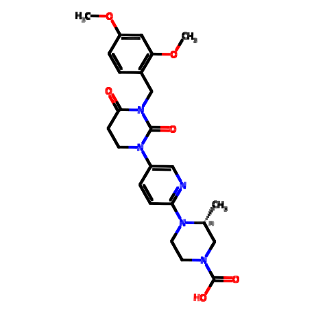 COc1ccc(CN2C(=O)CCN(c3ccc(N4CCN(C(=O)O)C[C@H]4C)nc3)C2=O)c(OC)c1